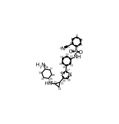 N#Cc1ccccc1S(=O)(=O)Nc1cccc(-c2ncc(C3CC3N[C@H]3CC[C@H](N)CC3)s2)c1